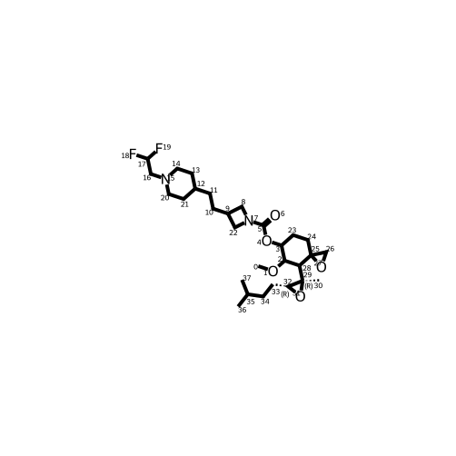 COC1C(OC(=O)N2CC(CCC3CCN(CC(F)F)CC3)C2)CCC2(CO2)C1[C@@]1(C)O[C@@H]1CCC(C)C